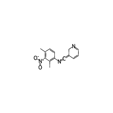 Cc1ccc(N=C=C2C=CC=NC2)c(C)c1[N+](=O)[O-]